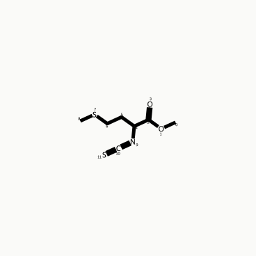 COC(=O)C(CCSC)N=C=S